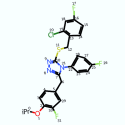 CC(C)Oc1ccc(Cc2nnc(SCc3ccc(F)cc3Cl)n2-c2ccc(F)cc2)cc1F